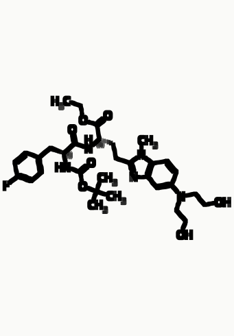 CCOC(=O)[C@H](CCc1nc2cc(N(CCO)CCO)ccc2n1C)NC(=O)[C@H](Cc1ccc(F)cc1)NC(=O)OC(C)(C)C